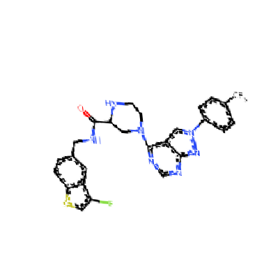 O=C(NCc1ccc2scc(F)c2c1)C1CN(c2ncnc3nn(-c4ccc(C(F)(F)F)cc4)cc23)CCN1